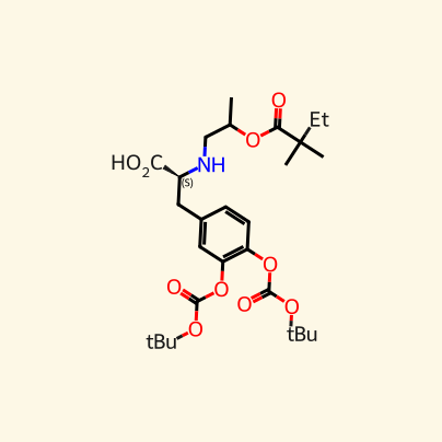 CCC(C)(C)C(=O)OC(C)CN[C@@H](Cc1ccc(OC(=O)OC(C)(C)C)c(OC(=O)OC(C)(C)C)c1)C(=O)O